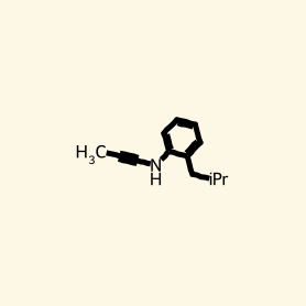 CC#CNc1ccccc1CC(C)C